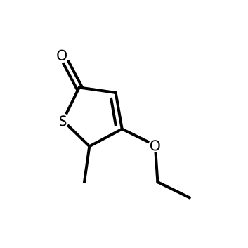 CCOC1=CC(=O)SC1C